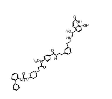 CN(C(=O)CCN1CCC(OC(=O)Nc2ccccc2-c2ccccc2)CC1)c1ccc(C(=O)NCCc2cccc(CCNC[C@H](O)c3ccc(O)c4[nH]c(=O)ccc34)c2)cc1